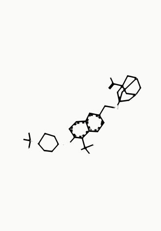 O=C(O)C12CC3CC(CC(NCc4ccc5c(C(F)(F)F)c(O[C@H]6CC[C@@H](C(F)(F)F)CC6)ccc5c4)(C3)C1)C2